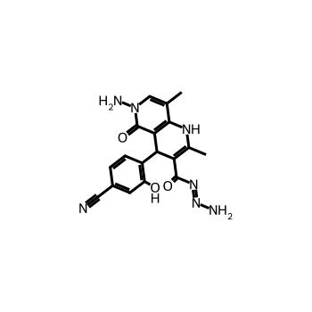 CC1=C(C(=O)N=NN)C(c2ccc(C#N)cc2O)c2c(c(C)cn(N)c2=O)N1